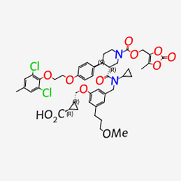 COCCCc1cc(CN(C(=O)[C@H]2CN(C(=O)OCc3oc(=O)oc3C)CC[C@@H]2c2ccc(OCCOc3c(Cl)cc(C)cc3Cl)cc2)C2CC2)cc(OC[C@@H]2C[C@H]2C(=O)O)c1